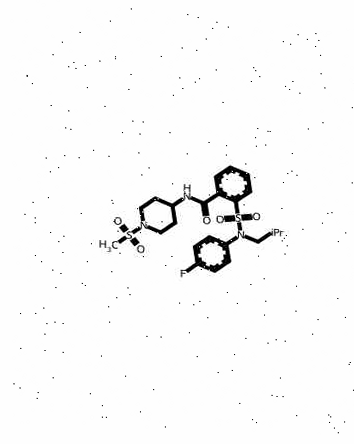 CC(C)CN(c1ccc(F)cc1)S(=O)(=O)c1ccccc1C(=O)NC1CCN(S(C)(=O)=O)CC1